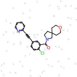 O=C(c1cc(C#Cc2ccccn2)ccc1Cl)N1CCC2(CCOCC2)C1